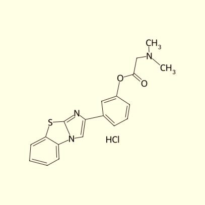 CN(C)CC(=O)Oc1cccc(-c2cn3c(n2)sc2ccccc23)c1.Cl